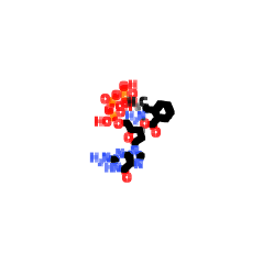 CC(N)c1ccccc1C(=O)O[C@@H]1CC(n2cnc3c(=O)[nH]c(N)nc32)OC1COP(=O)(O)OP(=O)(O)OP(=O)(O)O